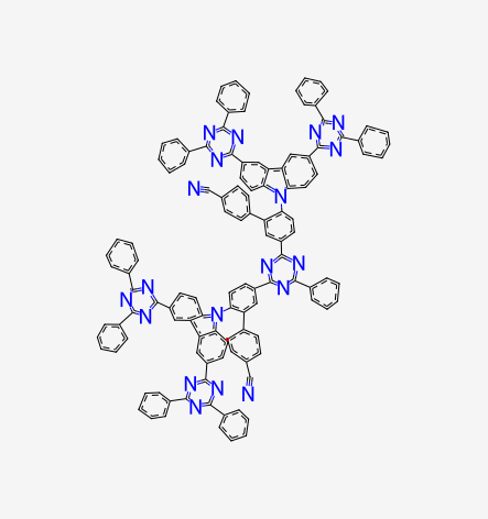 N#Cc1ccc(-c2cc(-c3nc(-c4ccccc4)nc(-c4ccc(-n5c6ccc(-c7nc(-c8ccccc8)nc(-c8ccccc8)n7)cc6c6cc(-c7nc(-c8ccccc8)nc(-c8ccccc8)n7)ccc65)c(-c5ccc(C#N)cc5)c4)n3)ccc2-n2c3ccc(-c4nc(-c5ccccc5)nc(-c5ccccc5)n4)cc3c3cc(-c4nc(-c5ccccc5)nc(-c5ccccc5)n4)ccc32)cc1